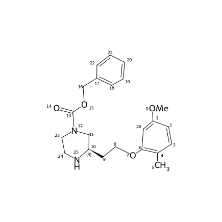 COc1ccc(C)c(OCC[C@@H]2CN(C(=O)OCc3ccccc3)CCN2)c1